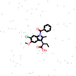 CCC(C(=O)O)c1c(C)n(C(=O)c2ccccc2)c2cc(Cl)c(OC)cc12